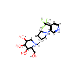 OCC1C(O)C(O)C(O)CN1C[C@@H]1CCN(c2cnccc2C(F)(F)F)C1